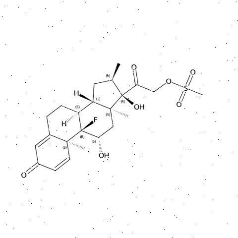 C[C@@H]1C[C@H]2[C@@H]3CCC4=CC(=O)C=C[C@]4(C)[C@@]3(F)[C@@H](O)C[C@]2(C)[C@@]1(O)C(=O)COS(C)(=O)=O